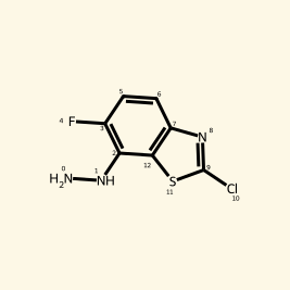 NNc1c(F)ccc2nc(Cl)sc12